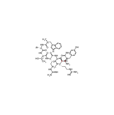 CC(C)[C@H](NC(=O)[C@@H](C)Cc1c[nH]c2ccccc12)C(=O)N[C@H](C(=O)N[C@@H](CCCNC(=N)N)C(=O)N[C@@H](CCC(N)=O)C(=O)N(C)[C@@H](CCCNC(=N)N)C(=O)NC(Cc1ccc(O)cc1)C(N)=O)[C@@H](C)O